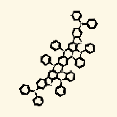 c1ccc(N(c2ccccc2)c2ccc3c(c2)oc2c4c5c(cc23)N(c2ccccc2)c2cc3c(cc2B5c2ccccc2N4c2ccccc2)B2c4ccccc4N(c4ccccc4)c4c2c(cc2c4oc4cc(N(c5ccccc5)c5ccccc5)ccc42)N3c2ccccc2)cc1